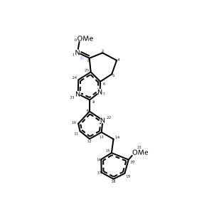 CO/N=C1\CCCc2nc(-c3cccc(Cc4ccccc4OC)n3)ncc21